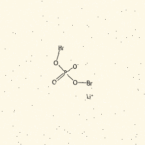 O=P([O-])(OBr)OBr.[Li+]